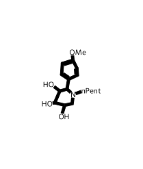 CCCCCN1CC(O)C(O)C(O)C1c1ccc(OC)cc1